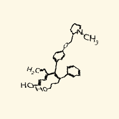 C=CC(=C\C=C\O)/C(=C(\CCCO)c1ccccc1)c1ccc(OCC2CCCN2C)cc1